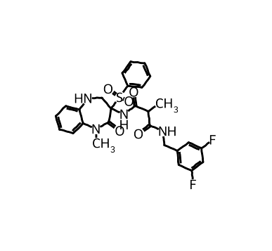 CC(C(=O)NCc1cc(F)cc(F)c1)C(=O)NC1(S(=O)(=O)c2ccccc2)CNc2ccccc2N(C)C1=O